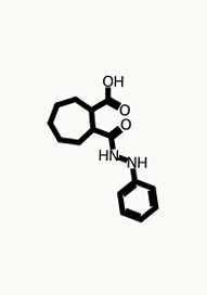 O=C(O)C1CCCCCC1C(=O)NNc1ccccc1